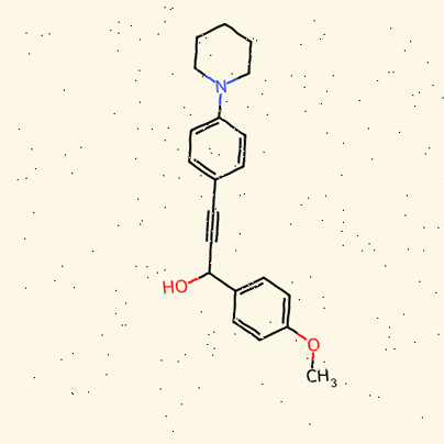 COc1ccc(C(O)C#Cc2ccc(N3CCCCC3)cc2)cc1